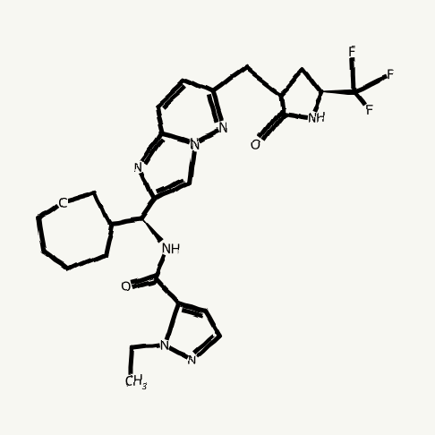 CCn1nccc1C(=O)N[C@H](c1cn2nc(CC3C[C@@H](C(F)(F)F)NC3=O)ccc2n1)C1CCCCCC1